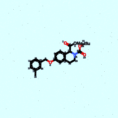 COC(=O)C1c2ccc(OCc3cccc(C)c3)cc2CCN1C(=O)OC(C)(C)C